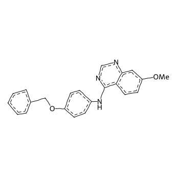 COc1ccc2c(Nc3ccc(OCc4ccccc4)cc3)ncnc2c1